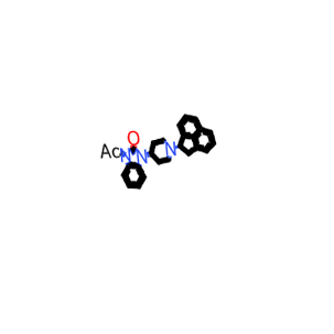 CC(=O)n1c(=O)n(C2CCN([C@@H]3Cc4cccc5cccc3c45)CC2)c2ccccc21